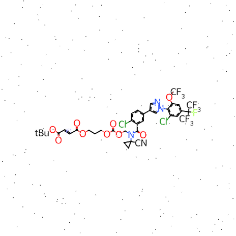 CC(C)(C)OC(=O)/C=C/C(=O)OCCCOC(=O)OCN(C(=O)c1cc(-c2cnn(-c3c(Cl)cc(C(F)(C(F)(F)F)C(F)(F)F)cc3OC(F)(F)F)c2)ccc1Cl)C1(C#N)CC1